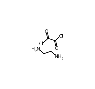 NCCN.O=C(Cl)C(=O)Cl